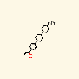 C=CC(=O)c1ccc(C2CCC(C3CCC(CCC)CC3)CC2)cc1